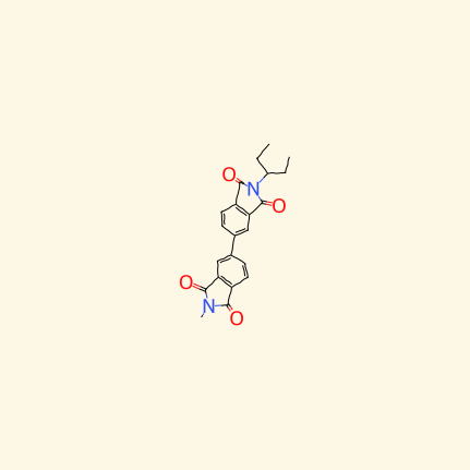 CCC(CC)N1C(=O)c2ccc(-c3ccc4c(c3)C(=O)N(C)C4=O)cc2C1=O